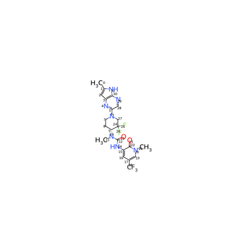 Cc1cc2nc(N3CC[C@@H](N(C)C(=O)Nc4cc(C(F)(F)F)cn(C)c4=O)C(F)(F)C3)cnc2[nH]1